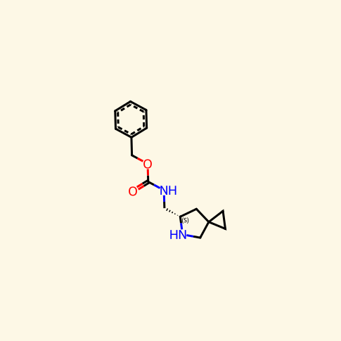 O=C(NC[C@@H]1CC2(CC2)CN1)OCc1ccccc1